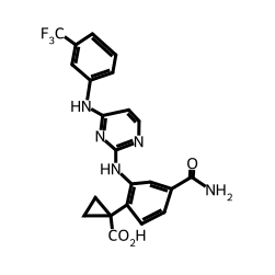 NC(=O)c1ccc(C2(C(=O)O)CC2)c(Nc2nccc(Nc3cccc(C(F)(F)F)c3)n2)c1